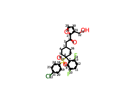 O=C(CC1CCC(c2cc(F)ccc2F)(S(=O)(=O)c2ccc(Cl)cc2)CC1)c1occc1CO